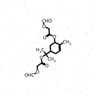 CC1=CCC(C(C)(C)OC(=O)COC=O)CC1OC(=O)COC=O